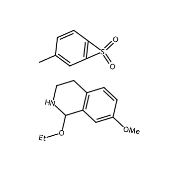 CCOC1NCCc2ccc(OC)cc21.Cc1ccc2c(c1)S2(=O)=O